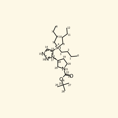 CCC[CH2][Sn]([CH2]CCC)([CH2]CCC)[c]1cnnn1[C@H]1CCN(C(=O)OC(C)(C)C)C1